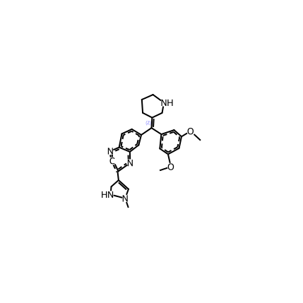 COc1cc(OC)cc(/C(=C2/CCCNC2)c2ccc3ncc(C4=CN(C)NC4)nc3c2)c1